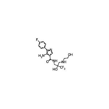 Nc1c(C(=O)NCC(O)(CNCCO)C(F)(F)F)cnn1-c1ccc(F)cc1